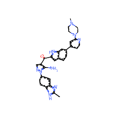 Cc1nc2cc(-n3ncc(C(=O)c4cc5ccc(-c6ccnc(N7CCN(C)CC7)c6)cc5[nH]4)c3N)ccc2[nH]1